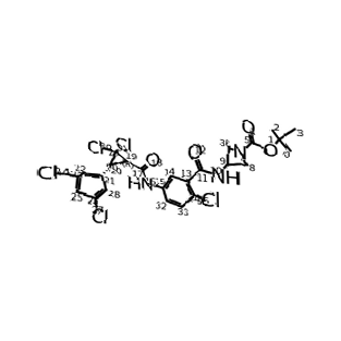 CC(C)(C)OC(=O)N1CC(NC(=O)c2cc(NC(=O)[C@H]3[C@H](c4cc(Cl)cc(Cl)c4)C3(Cl)Cl)ccc2Cl)C1